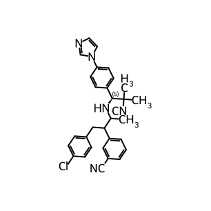 CC(N[C@@H](c1ccc(-n2ccnc2)cc1)C(C)(C)C#N)C(Cc1ccc(Cl)cc1)c1cccc(C#N)c1